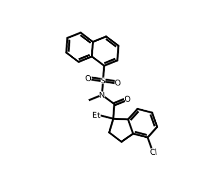 CCC1(C(=O)N(C)S(=O)(=O)c2cccc3ccccc23)CCc2c(Cl)cccc21